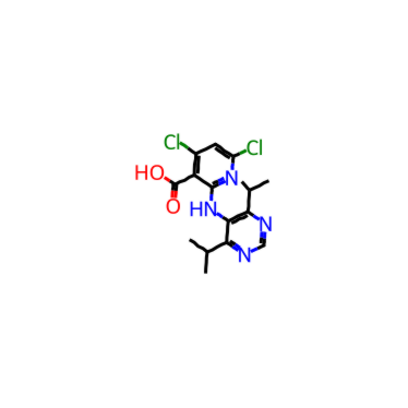 CC(C)c1ncnc(C(C)C)c1Nc1nc(Cl)cc(Cl)c1C(=O)O